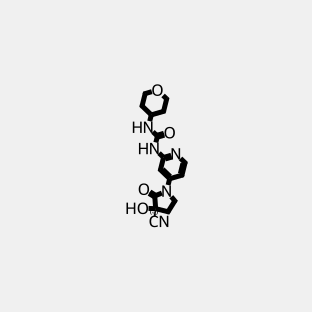 N#C[C@@]1(O)CCN(c2ccnc(NC(=O)NC3CCOCC3)c2)C1=O